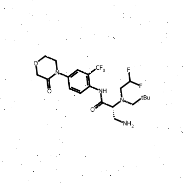 CC(C)(C)CN(CC(F)F)[C@H](CN)C(=O)Nc1ccc(N2CCOCC2=O)cc1C(F)(F)F